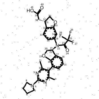 Cc1nc(N2CCCC2)nc(C)c1-c1cccc2c1OC[C@H]2N(C(=O)C(F)(F)F)c1ccc2c(c1)OC[C@H]2CC(=O)O